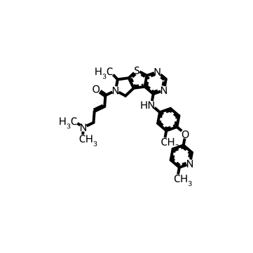 Cc1ccc(Oc2ccc(Nc3ncnc4sc5c(c34)CN(C(=O)/C=C/CN(C)C)C5C)cc2C)cn1